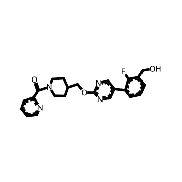 O=C(c1ccccn1)N1CCC(COc2ncc(-c3cccc(CO)c3F)cn2)CC1